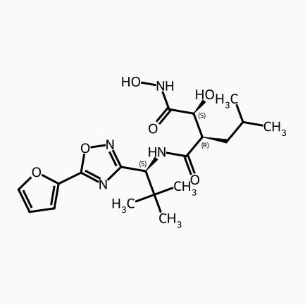 CC(C)C[C@@H](C(=O)N[C@H](c1noc(-c2ccco2)n1)C(C)(C)C)[C@H](O)C(=O)NO